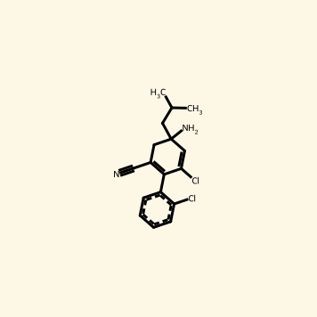 CC(C)CC1(N)C=C(Cl)C(c2ccccc2Cl)=C(C#N)C1